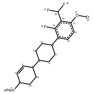 CCCCCC1C=CC(C2CCC(c3ccc(OCC)c(C(F)F)c3F)CC2)CC1